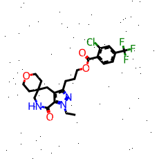 CCn1nc(CCCOC(=O)c2ccc(C(F)(F)F)cc2Cl)c2c1C(=O)NCC1(CCOCC1)C2